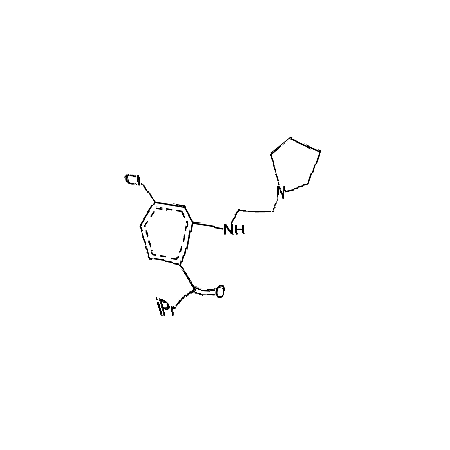 CC(C)C(=O)c1ccc(Cl)cc1NCCN1CCCC1